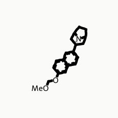 COCOc1ccc2cc(C3CC4CCC(C3)N4C)ccc2c1